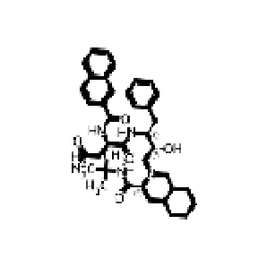 CC(C)(C)NC(=O)[C@@H]1CC2CCCCC2CN1C[C@@H](O)[C@H](Cc1ccccc1)NC(=O)C(CC(N)=O)NC(=O)c1ccc2ccccc2c1